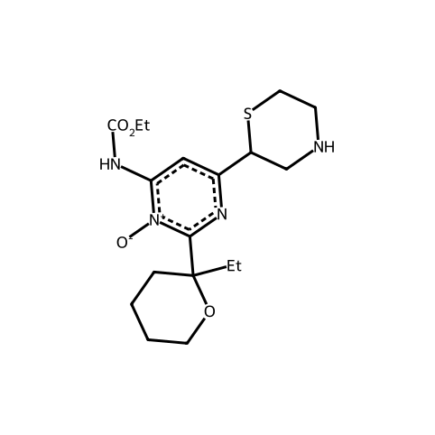 CCOC(=O)Nc1cc(C2CNCCS2)nc(C2(CC)CCCCO2)[n+]1[O-]